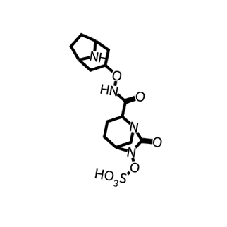 O=C(NOC1CC2CCC(C1)N2)C1CCC2CN1C(=O)N2OS(=O)(=O)O